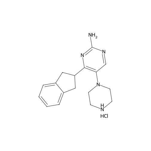 Cl.Nc1ncc(N2CCNCC2)c(C2Cc3ccccc3C2)n1